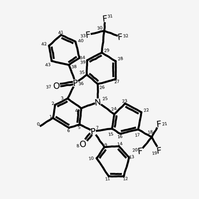 Cc1cc2c3c(c1)P(=O)(c1ccccc1)c1cc(C(F)(F)F)ccc1N3c1ccc(C(F)(F)F)cc1P2(=O)c1ccccc1